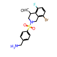 NCc1ccc(S(=O)(=O)N2Cc3c(Br)ccc(F)c3C(C=O)C2)cc1